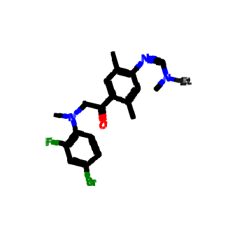 CCN(C)/C=N\c1cc(C)c(C(=O)CN(C)c2ccc(Br)cc2F)cc1C